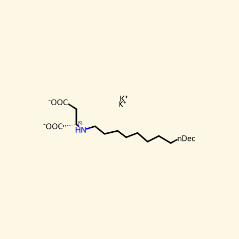 CCCCCCCCCCCCCCCCCCN[C@@H](CC(=O)[O-])C(=O)[O-].[K+].[K+]